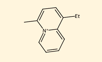 CCc1ccc(C)[n+]2ccccc12